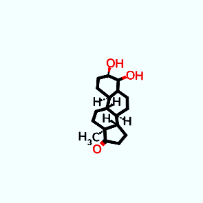 C[C@]12CC[C@H]3[C@@H](CCC4C(O)[C@H](O)CC[C@@H]43)[C@@H]1CCC2=O